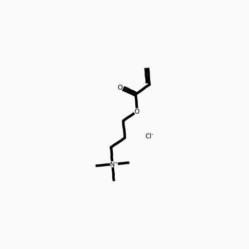 C=CC(=O)OCCC[N+](C)(C)C.[Cl-]